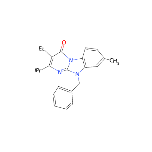 CCc1c(C(C)C)nc2n(Cc3ccccc3)c3cc(C)ccc3n2c1=O